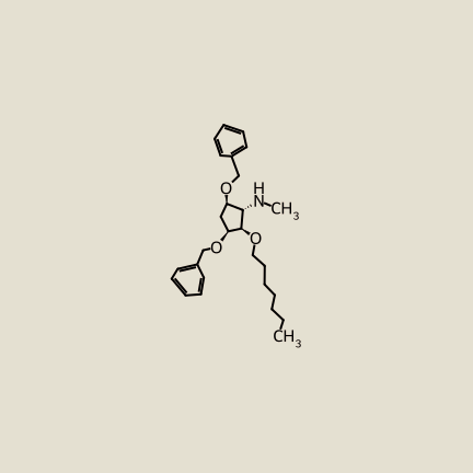 CCCCCCCO[C@@H]1[C@@H](NC)[C@H](OCc2ccccc2)C[C@@H]1OCc1ccccc1